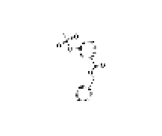 CS(=O)(=O)Oc1cccc(C(=O)OCc2ccccc2)c1